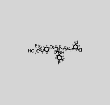 CCOC(Cc1ccc(OCCN(CCCCOCc2cc(Cl)cc(Cl)c2)C(=O)Nc2ccc(F)c(F)c2)cc1)C(=O)O